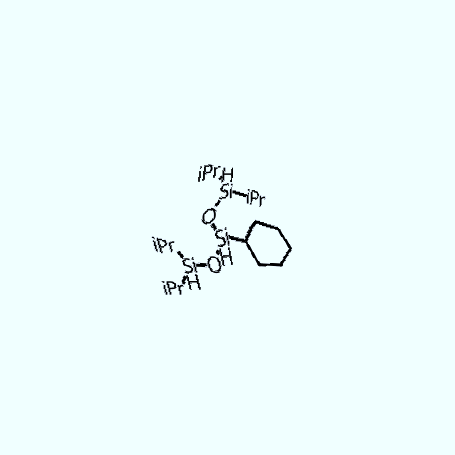 CC(C)[SiH](O[SiH](O[SiH](C(C)C)C(C)C)C1CCCCC1)C(C)C